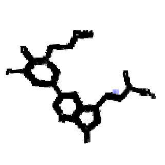 COCCn1cc(-c2cnc3[nH]cc(/C=C/C(N)=O)c3c2)cc(F)c1=O